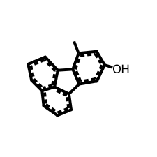 Cc1cc(O)cc2c1-c1cccc3cccc-2c13